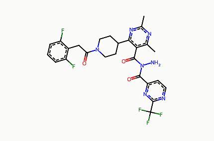 Cc1nc(C)c(C(=O)N(N)C(=O)c2ccnc(C(F)(F)F)n2)c(C2CCN(C(=O)Cc3c(F)cccc3F)CC2)n1